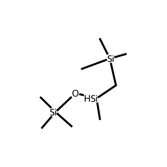 C[SiH](C[Si](C)(C)C)O[Si](C)(C)C